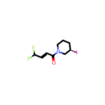 O=C(/C=C/C(F)F)N1CCC[C@@H](I)C1